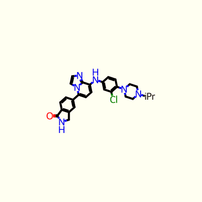 CC(C)N1CCN(c2ccc(Nc3ccc(-c4ccc5c(c4)CNC5=O)n4ccnc34)cc2Cl)CC1